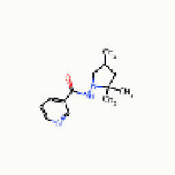 CC1CN(NC(=O)c2cccnc2)C(C)(C)C1